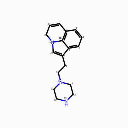 C1=Cc2cccc3c(CCN4CCNCC4)cn(c23)C1